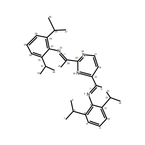 C/C(=N\c1c(C(C)C)cccc1C(C)C)c1ccnc(/C(C)=N/c2c(C(C)C)cccc2C(C)C)n1